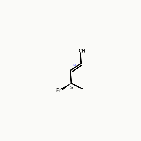 CC(C)[C@H](C)/C=C/C#N